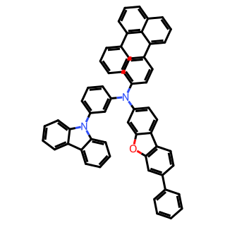 c1ccc(-c2ccc3c(c2)oc2cc(N(c4ccc(-c5cccc6cccc(-c7ccccc7)c56)cc4)c4cccc(-n5c6ccccc6c6ccccc65)c4)ccc23)cc1